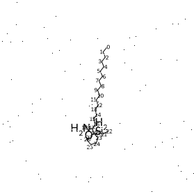 CCCCCCCCCCCCCCCCCC(N)C1([SiH2]CC)CCCCO1